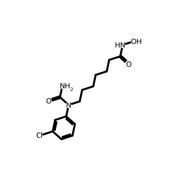 NC(=O)N(CCCCCCC(=O)NO)c1cccc(Cl)c1